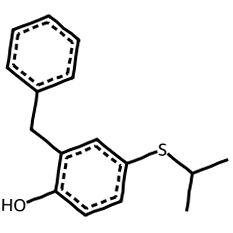 CC(C)Sc1ccc(O)c(Cc2ccccc2)c1